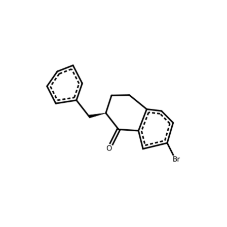 O=C1c2cc(Br)ccc2CC[C@@H]1Cc1ccccc1